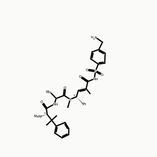 CN[C@H](C(=O)NC(C(=O)N(C)[C@H](/C=C(\C)C(=O)NS(=O)(=O)c1ccc(CN)cc1)C(C)C)C(C)(C)C)C(C)(C)c1ccccc1